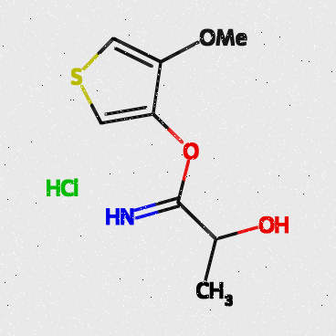 COc1cscc1OC(=N)C(C)O.Cl